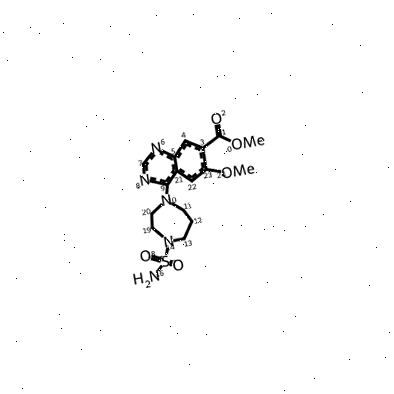 COC(=O)c1cc2ncnc(N3CCCN(S(N)(=O)=O)CC3)c2cc1OC